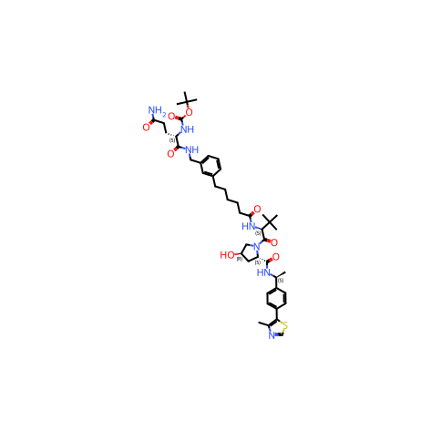 Cc1ncsc1-c1ccc([C@H](C)NC(=O)[C@@H]2C[C@@H](O)CN2C(=O)[C@@H](NC(=O)CCCCCc2cccc(CNC(=O)[C@H](CCC(N)=O)NC(=O)OC(C)(C)C)c2)C(C)(C)C)cc1